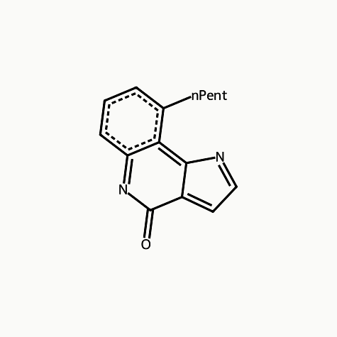 CCCCCc1cccc2c1=C1N=CC=C1C(=O)N=2